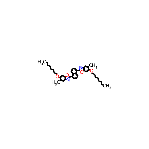 CCCCCCCCOc1cc2oc(-c3cccc4c(-c5nc6cc(C)c(OCCCCCCCC)cc6o5)cccc34)nc2cc1C